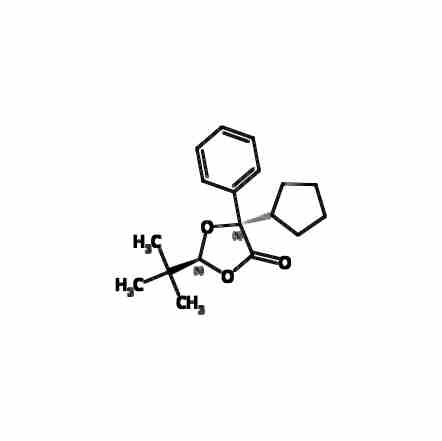 CC(C)(C)[C@@H]1OC(=O)[C@@](c2ccccc2)(C2CCCC2)O1